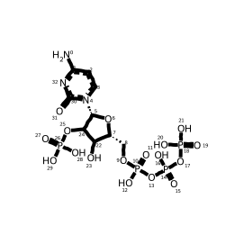 Nc1ccn([C@@H]2O[C@H](COP(=O)(O)OP(=O)(O)OP(=O)(O)O)C(O)C2OP(=O)(O)O)c(=O)n1